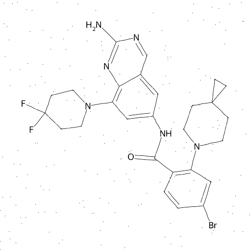 Nc1ncc2cc(NC(=O)c3ccc(Br)cc3N3CCC4(CC3)CC4)cc(N3CCC(F)(F)CC3)c2n1